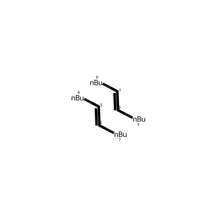 CCCCC=CCCCC.CCCCC=CCCCC